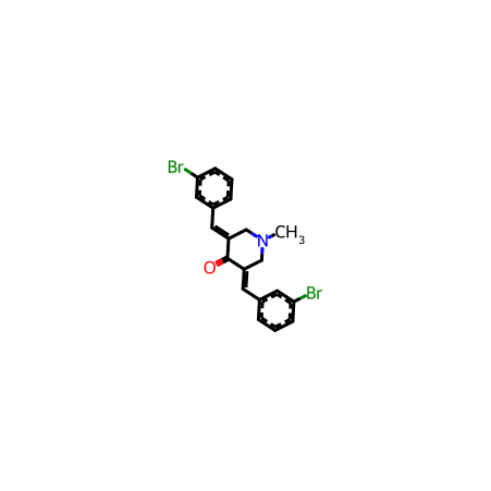 CN1C/C(=C\c2cccc(Br)c2)C(=O)/C(=C/c2cccc(Br)c2)C1